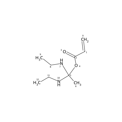 C=CC(=O)OC(C)(NCC)NCC